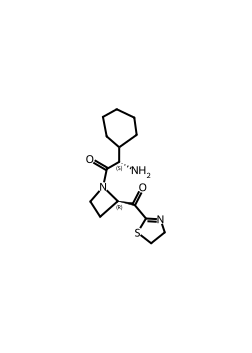 N[C@H](C(=O)N1CC[C@@H]1C(=O)C1=NCCS1)C1CCCCC1